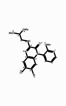 COc1ncccc1-n1c(=O)c(NCC(OC)OC)nc2cc(Cl)c(Br)cc21